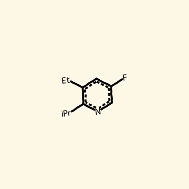 CCc1cc(F)cnc1C(C)C